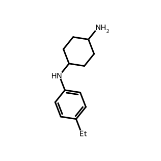 CCc1ccc(NC2CCC(N)CC2)cc1